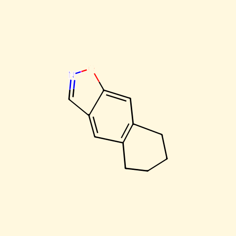 c1noc2cc3c(cc12)CCCC3